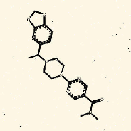 CC(c1ccc2c(c1)OCO2)N1CCN(c2ncc(C(=O)N(C)C)cn2)CC1